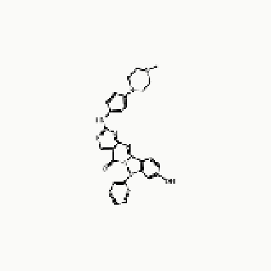 CN1CCN(c2ccc(Nc3ncc4c(=O)n5c(nc4n3)c3ccc(O)cc3n5-c3ccccn3)cc2)CC1